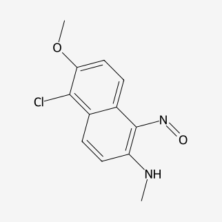 CNc1ccc2c(Cl)c(OC)ccc2c1N=O